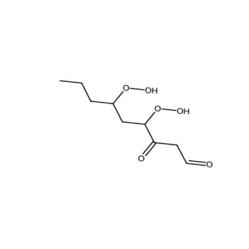 CCCC(CC(OO)C(=O)CC=O)OO